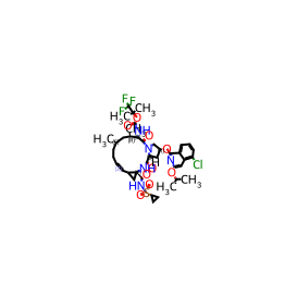 CC(C)Oc1cc2c(Cl)cccc2c(O[C@@H]2C[C@H]3C(=O)N[C@]4(C(=O)NS(=O)(=O)C5CC5)CC4/C=C\CC[C@H](C)C[C@@H](C)[C@H](NC(=O)OC(C)(C)C(F)(F)F)C(=O)N3C2)n1